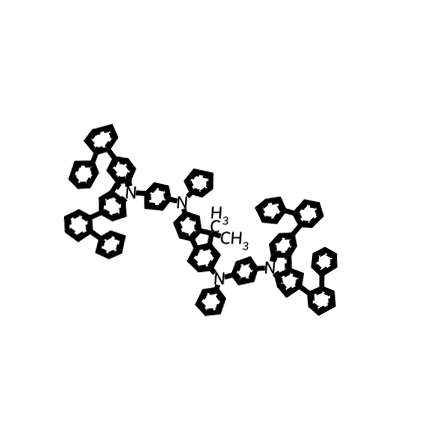 CC1(C)c2cc(N(c3ccccc3)c3ccc(-n4c5ccc(-c6ccccc6-c6ccccc6)cc5c5cc(-c6ccccc6-c6ccccc6)ccc54)cc3)ccc2-c2ccc(N(c3ccccc3)c3ccc(-n4c5ccc(-c6ccccc6-c6ccccc6)cc5c5cc(-c6ccccc6-c6ccccc6)ccc54)cc3)cc21